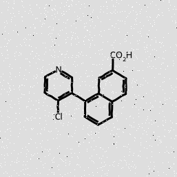 O=C(O)c1ccc2cccc(-c3cnccc3Cl)c2c1